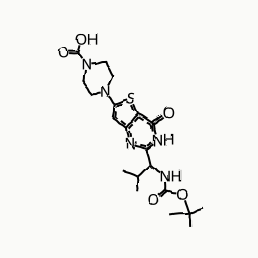 CC(C)C(NC(=O)OC(C)(C)C)c1nc2cc(N3CCN(C(=O)O)CC3)sc2c(=O)[nH]1